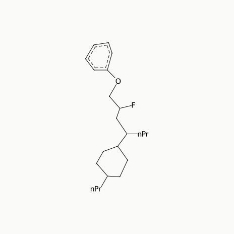 CCCC1CCC(C(CCC)CC(F)COc2ccccc2)CC1